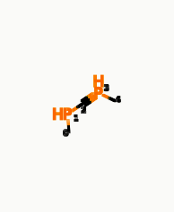 CPC#[PH]C